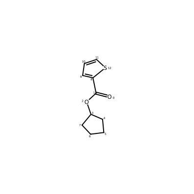 O=C(OC1CCCC1)c1cccs1